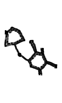 O=c1[nH]c(=S)[nH]cc1Oc1cccnc1